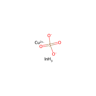 O=S(=O)([O-])[O-].[Cu+2].[InH3]